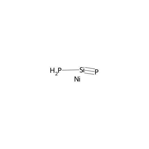 P#[Si]P.[Ni]